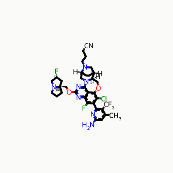 Cc1cc(N)nc(-c2c(Cl)c3c4c(nc(OC[C@@]56CCCN5C[C@H](F)C6)nc4c2F)N2C[C@H]4CC[C@H](CN4CCCC#N)[C@H]2CO3)c1C(F)(F)F